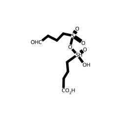 O=CCCCS(=O)(=O)O[SH](=O)(O)CCCC(=O)O